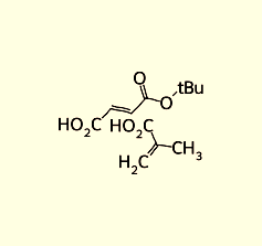 C=C(C)C(=O)O.CC(C)(C)OC(=O)C=CC(=O)O